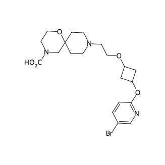 O=C(O)N1CCOC2(CCN(CCOC3CC(Oc4ccc(Br)cn4)C3)CC2)C1